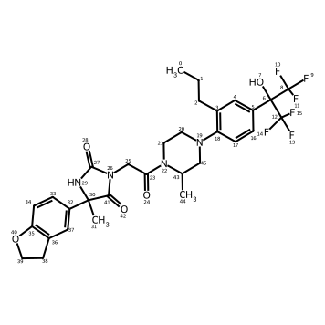 CCCc1cc(C(O)(C(F)(F)F)C(F)(F)F)ccc1N1CCN(C(=O)CN2C(=O)NC(C)(c3ccc4c(c3)CCO4)C2=O)C(C)C1